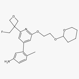 Cc1ccc(N)cc1-c1cc(OCCOC2CCCCO2)nc(C2(CF)COC2)c1